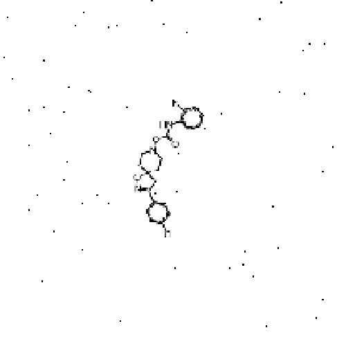 O=C(Nc1ccccc1F)ON1CCC2(CC1)CC(c1ccc(Cl)cc1)=NO2